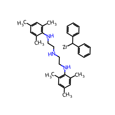 Cc1cc(C)c(NCCNCCNc2c(C)cc(C)cc2C)c(C)c1.[Zr][CH](c1ccccc1)c1ccccc1